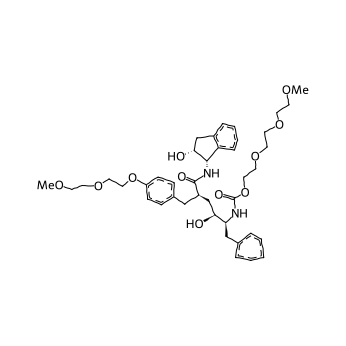 COCCOCCOCCOC(=O)N[C@@H](Cc1ccccc1)[C@@H](O)C[C@@H](Cc1ccc(OCCOCCOC)cc1)C(=O)N[C@H]1c2ccccc2C[C@H]1O